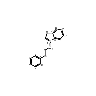 C1=[N+](OCCc2ccccc2)c2ccccc2C1